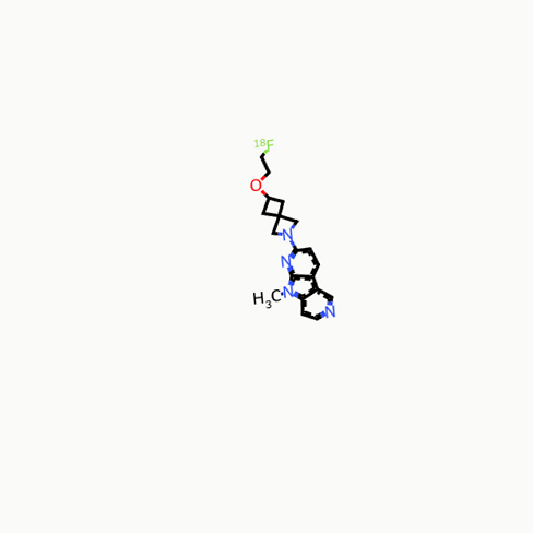 Cn1c2ccncc2c2ccc(N3CC4(CC(OCC[18F])C4)C3)nc21